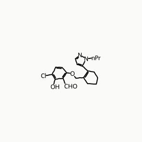 CCCn1nccc1C1=C(COc2ccc(Cl)c(O)c2C=O)CCCC1